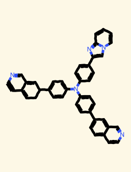 c1ncc2c(c#1)=CCC(c1ccc(N(c3ccc(-c4ccc5ccncc5c4)cc3)c3ccc(-c4cn5ccccc5n4)cc3)cc1)C=2